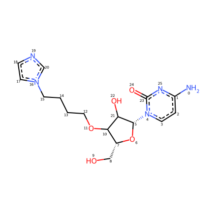 Nc1ccn([C@@H]2O[C@H](CO)C(OCCCCn3ccnc3)C2O)c(=O)n1